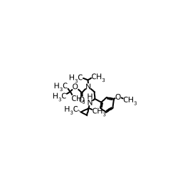 COc1cccc(C(CN(C(=O)OC(C)(C)C)C(C)C)NC2(C)C[C@@H]2C)c1